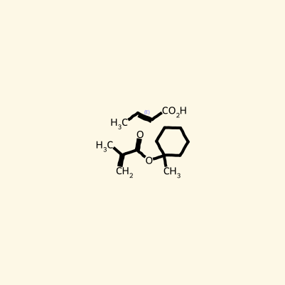 C/C=C/C(=O)O.C=C(C)C(=O)OC1(C)CCCCC1